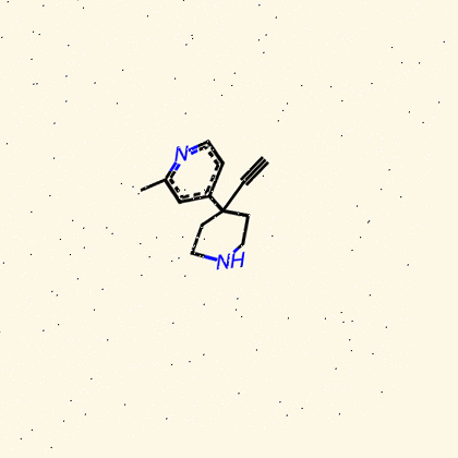 C#CC1(c2ccnc(C)c2)CCNCC1